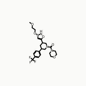 COCCON1C=C(C2CC(c3ccc(C(F)(F)F)cc3)CN(C(=O)N3CCOCC3)C2)ON1